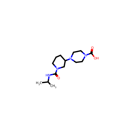 CC(C)NC(=O)N1CCCC(N2CCN(C(=O)O)CC2)C1